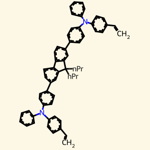 C=Cc1ccc(N(c2ccccc2)c2ccc(-c3ccc4c(c3)C(CCC)(CCC)c3cc(-c5ccc(N(c6ccccc6)c6ccc(C=C)cc6)cc5)ccc3-4)cc2)cc1